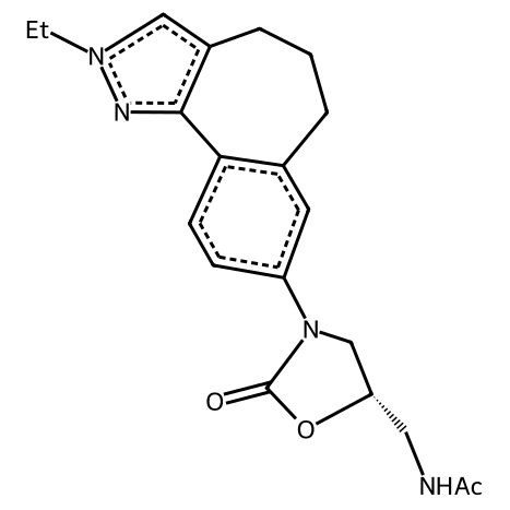 CCn1cc2c(n1)-c1ccc(N3C[C@H](CNC(C)=O)OC3=O)cc1CCC2